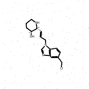 O[C@H]1CCCN[C@@H]1/C=C/Cn1cnc2cc(CCl)ccc21